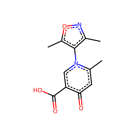 Cc1noc(C)c1-n1cc(C(=O)O)c(=O)cc1C